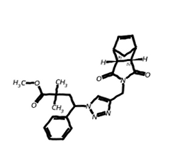 COC(=O)C(C)(C)CC(c1ccccc1)n1cc(CN2C(=O)[C@@H]3C4C=CC(C4)[C@@H]3C2=O)nn1